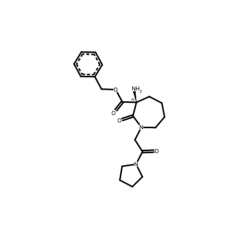 N[C@@]1(C(=O)OCc2ccccc2)CCCCN(CC(=O)N2CCCC2)C1=O